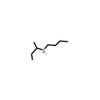 CCC(C)[SiH2]CCCI